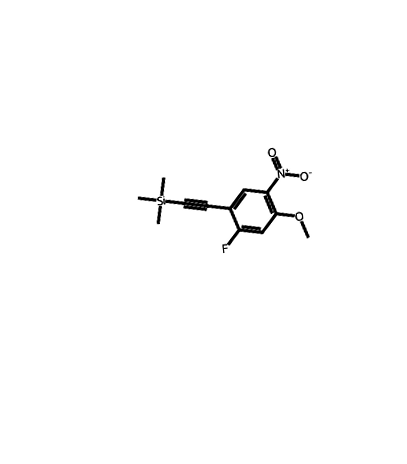 COc1cc(F)c(C#C[Si](C)(C)C)cc1[N+](=O)[O-]